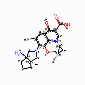 COc1c(N2C[C@@]3(C)CCC[C@]3(N)C2)c(F)cc2c(=O)c(C(=O)O)cn([C@@H]3C[C@@H]3F)c12